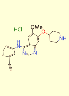 C#Cc1cccc(Nc2ncnc3cc(OC4CCNCC4)c(OC)cc23)c1.Cl